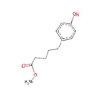 O=C(CCCCc1ccc(O)cc1)[O][SbH2]